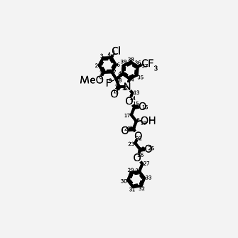 COc1ccc(Cl)cc1[C@]1(F)C(=O)N(COC(=O)C[C@H](O)C(=O)OCC(=O)OCc2ccccc2)c2cc(C(F)(F)F)ccc21